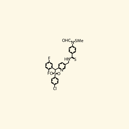 CSN(C=O)c1ccc(C(=S)NCc2ccc(C(c3cc(F)ccc3F)S(=O)(=O)c3ccc(Cl)cc3)nc2)cc1